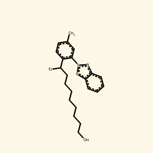 CCC(CCCCCCCCO)c1ccc(C)cc1-n1nc2ccccc2n1